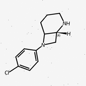 Clc1ccc(N2C[C@H]3NCCCC32)cc1